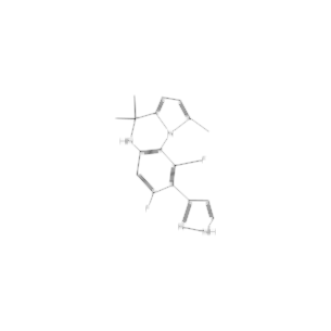 Cc1ccc2n1-c1c(cc(F)c(-c3cc[nH]n3)c1F)NC2(C)C